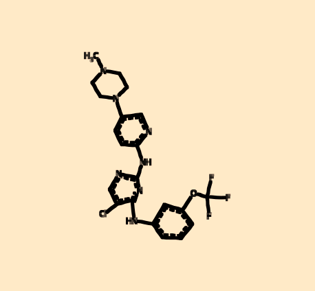 CN1CCN(c2ccc(Nc3ncc(Cl)c(Nc4cccc(OC(F)(F)F)c4)n3)nc2)CC1